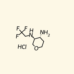 Cl.N[C@@H]1CCOC[C@H]1NCC(F)(F)F